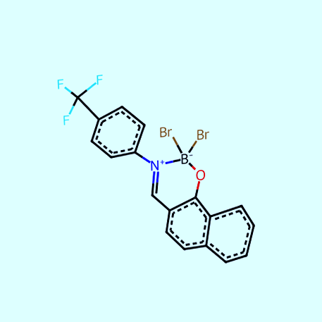 FC(F)(F)c1ccc([N+]2=Cc3ccc4ccccc4c3O[B-]2(Br)Br)cc1